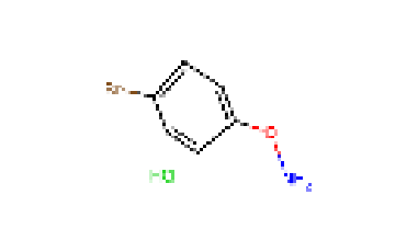 Cl.NOc1ccc(Br)cc1